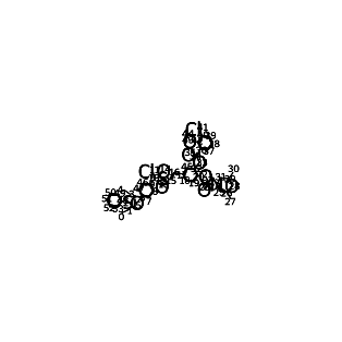 CC[Si](CC)(Oc1ccc(C(Cl)S(=O)(=O)/C=C/c2ccc(OC(=O)N3CC(C)OC(C)C3)c(OC(=O)c3cccc(Cl)c3OC)c2)cc1)c1ccccc1